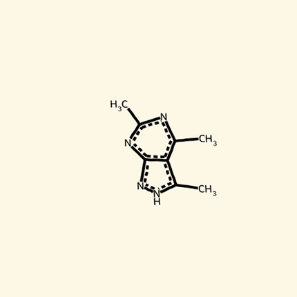 Cc1nc(C)c2c(C)[nH]nc2n1